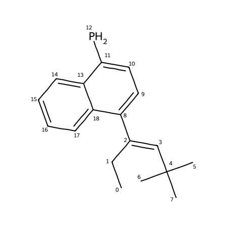 CC/C(=C\C(C)(C)C)c1ccc(P)c2ccccc12